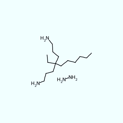 CCCCCCC(CC)(CCCN)CCCN.NN